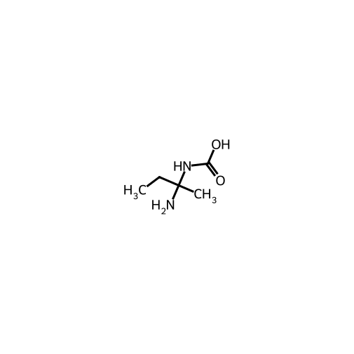 CCC(C)(N)NC(=O)O